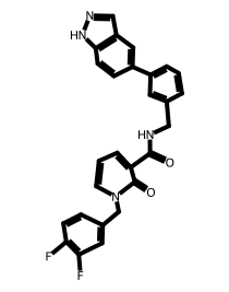 O=C(NCc1cccc(-c2ccc3[nH]ncc3c2)c1)c1cccn(Cc2ccc(F)c(F)c2)c1=O